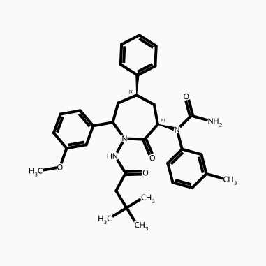 COc1cccc(C2C[C@@H](c3ccccc3)C[C@@H](N(C(N)=O)c3cccc(C)c3)C(=O)N2NC(=O)CC(C)(C)C)c1